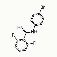 N=C(Nc1ccc(Br)cc1)c1c(F)cccc1F